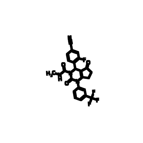 CNC(=O)N1C(=O)N(c2cccc(C(F)(F)F)c2)C2=C(C(=O)CC2)C1c1ccc(C#N)cc1F